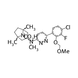 COCOc1c(-c2ccc(N(C)[C@H]3C[C@]4(C)CC[C@](C)(C3)N4C(=O)O)nn2)ccc(Cl)c1F